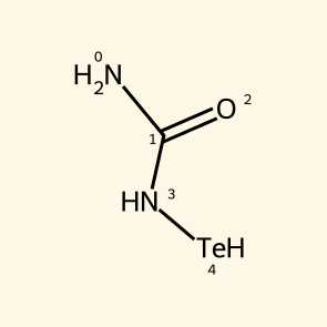 NC(=O)N[TeH]